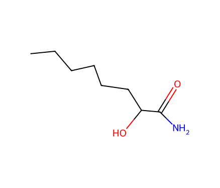 CCCCCCC(O)C(N)=O